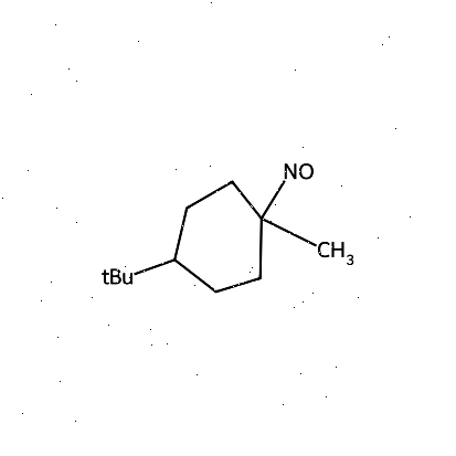 CC1(N=O)CCC(C(C)(C)C)CC1